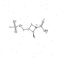 C[C@H]1C(COS(C)(=O)=O)CN1C(=O)O